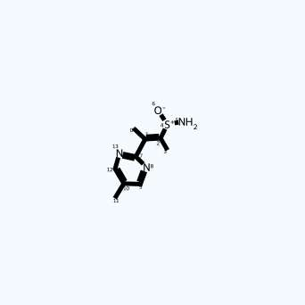 C/C(=C(/C)[S+](N)[O-])c1ncc(C)cn1